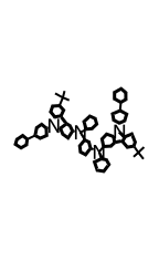 CC(C)(C)c1ccc2c(c1)c1cc(N(c3ccccc3)c3cccc(N(c4ccccc4)c4ccc5c(c4)c4cc(C(C)(C)C)ccc4n5-c4ccc(-c5ccccc5)cc4)c3)ccc1n2-c1ccc(-c2ccccc2)cc1